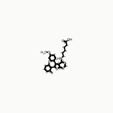 COc1ccc(-c2c(-c3c(F)cccc3F)oc3ncnc(NCCCCCC(=O)O)c23)cc1